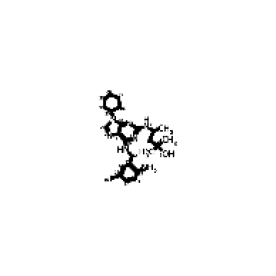 CC(CC(C)(C)O)Nc1nc(NCc2cc(I)ccc2N)c2ncn(C3CCCCC3)c2n1